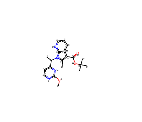 COc1nccc(C(C)n2c(C)c(C(=O)OC(C)(C)C)c3cccnc32)n1